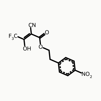 N#CC(C(=O)OCCc1ccc([N+](=O)[O-])cc1)=C(O)C(F)(F)F